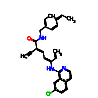 C#C/C(=C\C=C(/C=C)Nc1nccc2ccc(Cl)cc12)C(=O)NCC(/C=C\C=C/C)=C/C